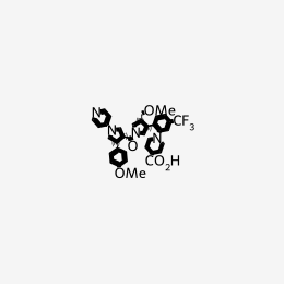 COC[C@H]1CN(C(=O)[C@@H]2CN(c3ccncc3)C[C@H]2c2ccc(OC)cc2)C[C@@H]1c1ccc(C(F)(F)F)cc1N1CCC(C(=O)O)CC1